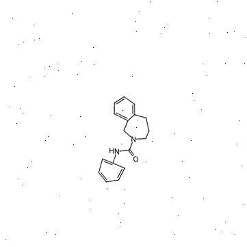 O=C(Nc1ccccc1)N1CCCc2ccccc2C1